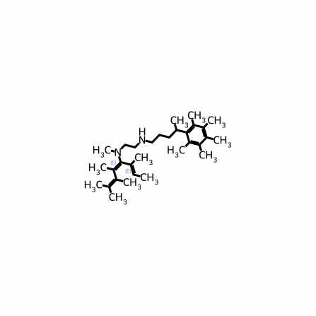 C/C=C(C)/C(=C(/C)C(C)=C(C)C)N(C)CCNCCCC(C)c1c(C)c(C)c(C)c(C)c1C